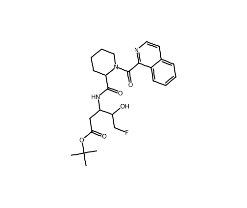 CC(C)(C)OC(=O)CC(NC(=O)C1CCCCN1C(=O)c1nccc2ccccc12)C(O)CF